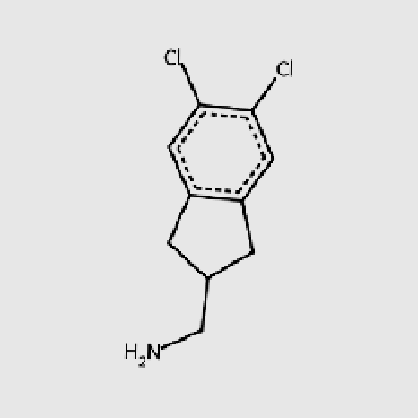 NCC1Cc2cc(Cl)c(Cl)cc2C1